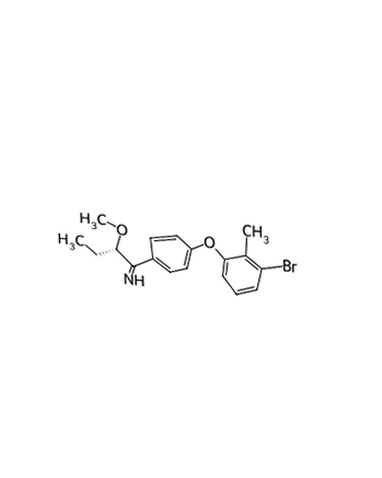 CC[C@H](OC)C(=N)c1ccc(Oc2cccc(Br)c2C)cc1